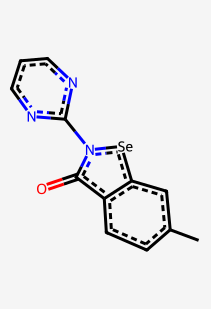 Cc1ccc2c(=O)n(-c3ncccn3)[se]c2c1